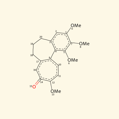 COc1cc2c(c(OC)c1OC)-c1ccc(OC)c(=O)cc1CCC2